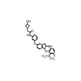 CC(C)c1cc(Nc2nc3cc(Oc4ccnc(NC(=O)CN5CC(O)C5)c4)ccc3n2C)ccc1F